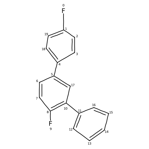 Fc1ccc(-c2ccc(F)c(-c3ccccc3)c2)cc1